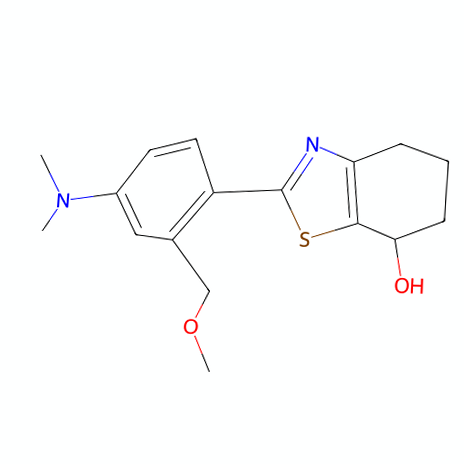 COCc1cc(N(C)C)ccc1-c1nc2c(s1)C(O)CCC2